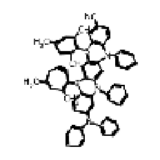 CC1=CC(C)=C(B2c3ccc(N(c4ccccc4)c4ccccc4)cc3N(c3ccccc3)c3cc4c(cc32)B(c2c(C)cc(C)cc2C)c2cc(C#N)ccc2N4c2ccccc2)C#CC1